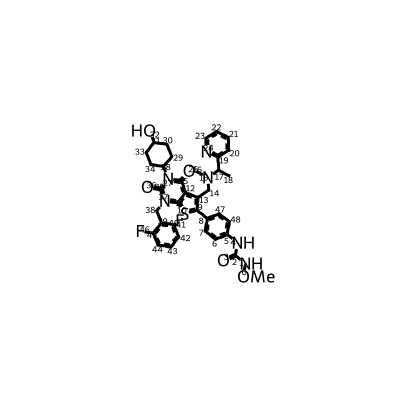 CONC(=O)Nc1ccc(-c2sc3c(c2CN(C)C(C)c2ccccn2)c(=O)n(C2CCC(O)CC2)c(=O)n3Cc2c(F)cccc2F)cc1